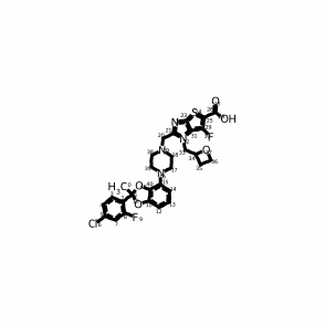 CC1(c2ccc(Cl)cc2F)Oc2cccc(N3CCN(Cc4nc5sc(C(=O)O)c(F)c5n4CC4CCO4)CC3)c2O1